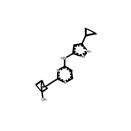 OC12CC(C1)N(c1nccc(Nc3cc(C4CC4)[nH]n3)n1)C2